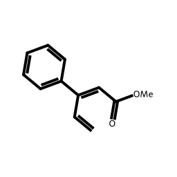 C=CC(=CC(=O)OC)c1ccccc1